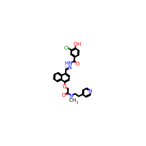 CN(CCc1ccncc1)C(=O)COc1ccc(/C=N/NC(=O)c2ccc(O)c(Cl)c2)c2ccccc12